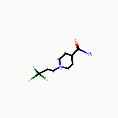 NC(=O)C1CCN(CCC(F)(F)F)CC1